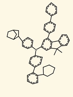 CC1(C)c2ccccc2-c2c(-c3ccc(-c4ccccc4)cc3)cc(N(c3ccc(-c4ccccc4C4CCCCC4)cc3)c3ccc(C4CC5CCC4C5)cc3)cc21